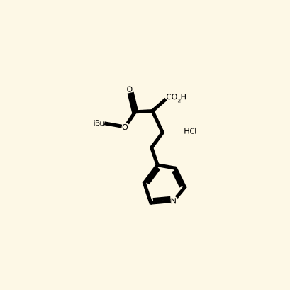 CCC(C)OC(=O)C(CCc1ccncc1)C(=O)O.Cl